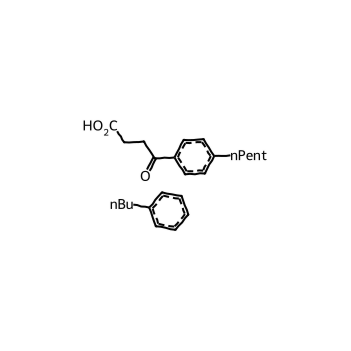 CCCCCc1ccc(C(=O)CCC(=O)O)cc1.CCCCc1ccccc1